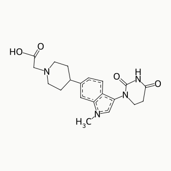 Cn1cc(N2CCC(=O)NC2=O)c2ccc(C3CCN(CC(=O)O)CC3)cc21